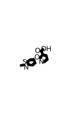 Cc1nc2ccc(Oc3ncccc3C(=O)O)cc2s1